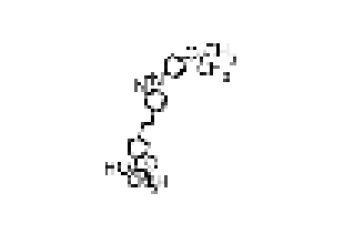 CC(C)Oc1ccc(-n2cnc3cc(C=Cc4ccc(C(C)(O)C(=O)O)cc4)ccc32)cc1